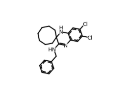 Clc1cc2c(cc1Cl)NC1(CCCCCCC1)C(NCc1ccccc1)=N2